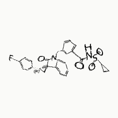 O=C(NS(=O)(=O)C1CC1)c1cccc(CN2C(=O)[C@]3(C[C@@H]3c3ccc(F)cc3)c3ccccc32)c1